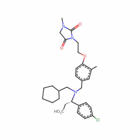 Cc1cc(CN(CC2CCCCC2)[C@@H](CC(=O)O)c2ccc(Cl)cc2)ccc1OCCN1C(=O)CN(C)C1=O